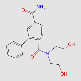 NC(=O)c1ccc(C(=O)N(CCO)CCO)c(-c2ccccc2)c1